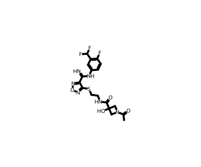 CC(=O)N1CC(O)(C(=O)NCCSc2nonc2C(=N)Nc2ccc(F)c(C(F)F)c2)C1